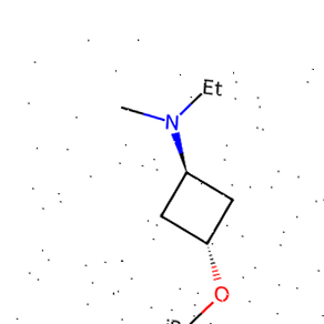 CCN(C)[C@H]1C[C@H](OC(C)C)C1